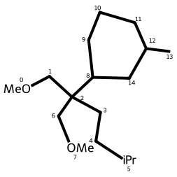 COCC(CCC(C)C)(COC)C1CCCC(C)C1